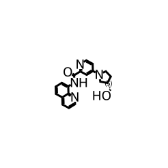 O=C(Nc1cccc2cccnc12)c1cc(N2CC[C@H](CO)C2)ccn1